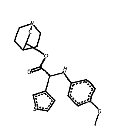 COc1ccc(NC(C(=O)OC2CN3CCC2CC3)c2ccsc2)cc1